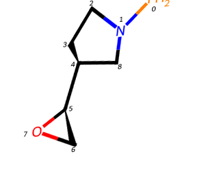 PN1CC[C@H]([C@H]2CO2)C1